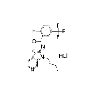 CCCCn1/c(=N/C(=O)c2cc(C(F)(F)F)ccc2F)sc2ccncc21.Cl